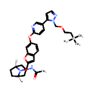 CC(=O)N[C@H]1C[C@H]2CC[C@@H](C1)N2Cc1cc2ccc(Oc3ccc(-c4ccnn4COCC[Si](C)(C)C)cn3)cc2o1